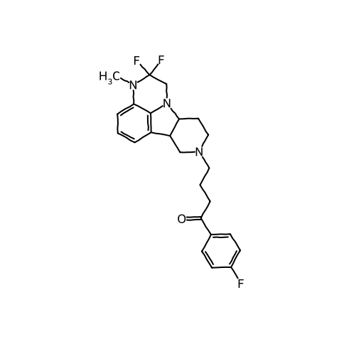 CN1c2cccc3c2N(CC1(F)F)C1CCN(CCCC(=O)c2ccc(F)cc2)CC31